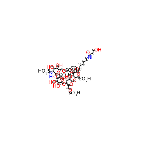 O=C(CCO)NCCCCCCOC1OC(C(=O)O)C(OC2CC(O)C(OC3OC(C(=O)O)C(OC4OC(COS(=O)(=O)O)C(O)C(O)C4NS(=O)(=O)O)C(O)C3O)C(COS(=O)(=O)O)O2)C(O)C1OS(=O)(=O)O